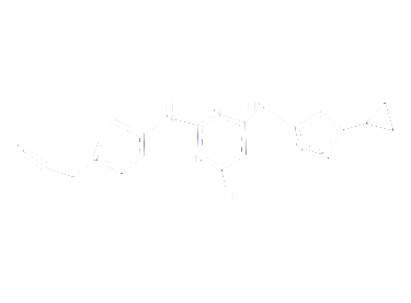 N#CCc1ccc(Nc2nc(Cl)cc(Nc3cc(C4CC4)[nH]n3)n2)cc1